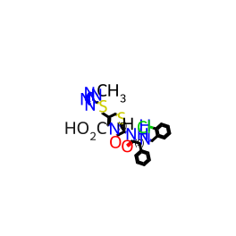 Cn1nnnc1SCC1=C(C(=O)O)N2C(=O)C(NC(=O)[C@@H](NCc3ccccc3Cl)c3ccccc3)[C@@H]2SC1